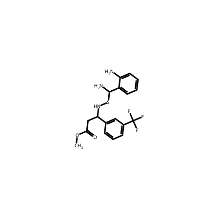 COC(=O)CC(NSC(N)c1ccccc1N)c1cccc(C(F)(F)F)c1